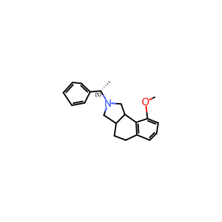 COc1cccc2c1C1CN([C@@H](C)c3ccccc3)CC1CC2